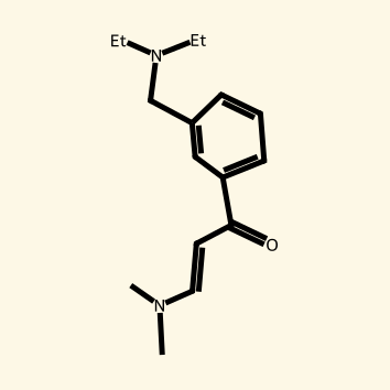 CCN(CC)Cc1cccc(C(=O)C=CN(C)C)c1